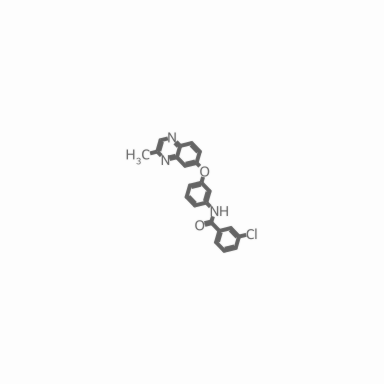 Cc1cnc2ccc(Oc3cccc(NC(=O)c4cccc(Cl)c4)c3)cc2n1